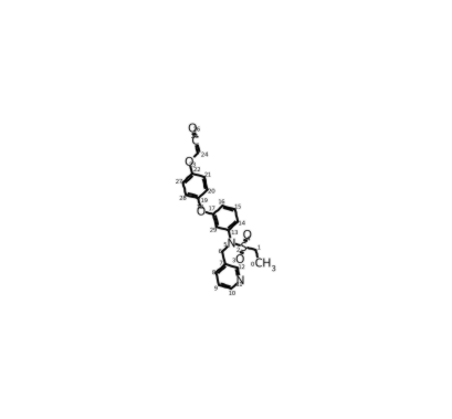 CCS(=O)(=O)N(Cc1cccnc1)c1cccc(Oc2ccc(OC=C=O)cc2)c1